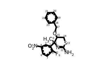 C[C@]1(c2cc([N+](=O)[O-])ccc2F)N=C(N)SCC1OCc1ccccc1